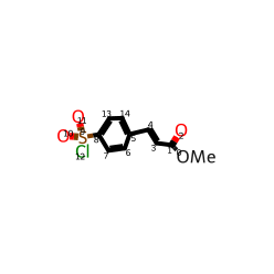 COC(=O)C=Cc1ccc(S(=O)(=O)Cl)cc1